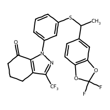 CC(Sc1cccc(-n2nc(C(F)(F)F)c3c2C(=O)CCC3)c1)c1ccc2c(c1)OC(F)(F)O2